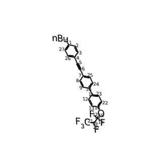 CCCCc1ccc(C#Cc2ccc(-c3ccc(OC(F)(F)C(F)C(F)(F)F)cc3)cc2)cc1